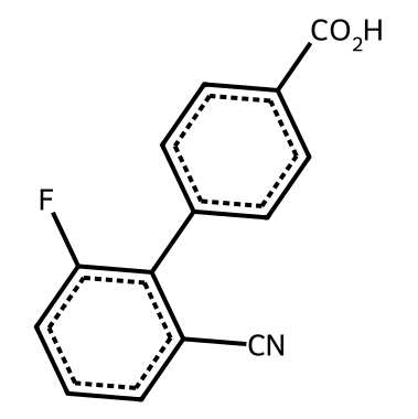 N#Cc1cccc(F)c1-c1ccc(C(=O)O)cc1